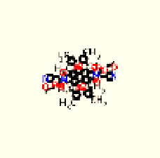 Cc1ccc(Oc2cc3c4c(cc(Oc5ccc(C)cc5C)c5c6c(Oc7ccc(C)cc7C)cc7c8c(cc(Oc9ccc(C)cc9C)c(c2c45)c86)C(=O)N(C(Cc2ccncc2)C(=O)OCC2CO2)C7=O)C(=O)N(C(Cc2ccncc2)C(=O)OCC2CO2)C3=O)c(C)c1